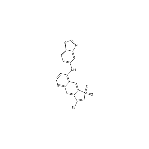 CCC1=CS(=O)(=O)c2cc3c(Nc4ccc5scnc5c4)ccnc3cc21